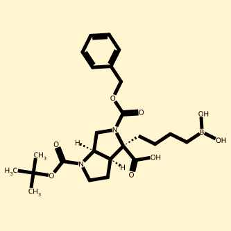 CC(C)(C)OC(=O)N1CC[C@H]2[C@@H]1CN(C(=O)OCc1ccccc1)[C@@]2(CCCCB(O)O)C(=O)O